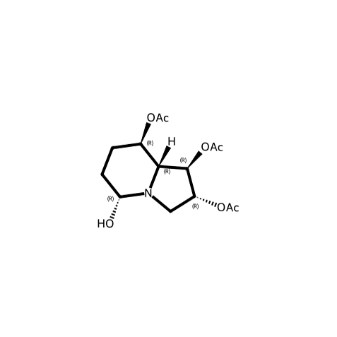 CC(=O)O[C@@H]1[C@H]2[C@H](OC(C)=O)CC[C@@H](O)N2C[C@H]1OC(C)=O